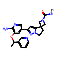 CCNC(=O)N1CC2(CCn3nc(-c4cnc(N)c(OC(C)c5cccnc5)c4)cc32)C1